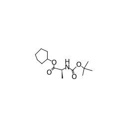 C[C@H](NC(=O)OC(C)(C)C)C(=O)OC1CCCCC1